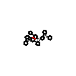 c1ccc(-c2ccc(N(c3ccc4c(c3)c3ccccc3n4-c3ccccc3)c3ccccc3-c3ccc4c5cccc6c7ccccc7n(c4c3)c65)cc2)cc1